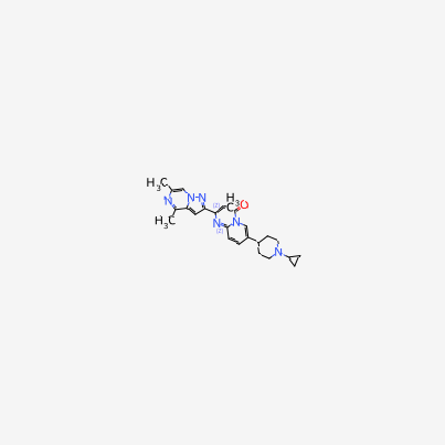 C/C=C(\N=c1\ccc(C2CCN(C3CC3)CC2)cn1C=O)c1cc2c(C)nc(C)cn2n1